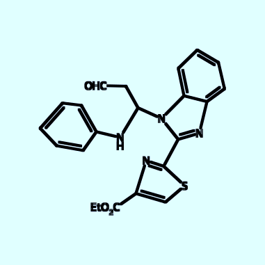 CCOC(=O)c1csc(-c2nc3ccccc3n2C(CC=O)Nc2ccccc2)n1